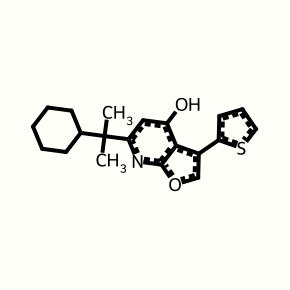 CC(C)(c1cc(O)c2c(-c3cccs3)coc2n1)C1CCCCC1